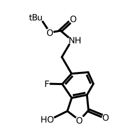 CC(C)(C)OC(=O)NCc1ccc2c(c1F)C(O)OC2=O